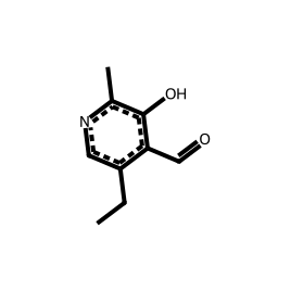 CCc1cnc(C)c(O)c1C=O